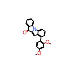 COc1ccc(-c2cccc3c2cc2n3-c3ccccc3C2=O)c(OC)c1